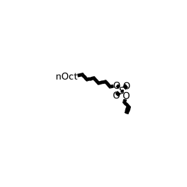 C=CCOS(=O)(=O)OCCCCCCCCCCCCCC